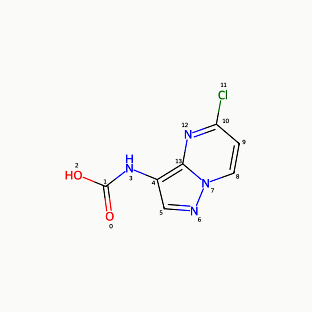 O=C(O)Nc1cnn2ccc(Cl)nc12